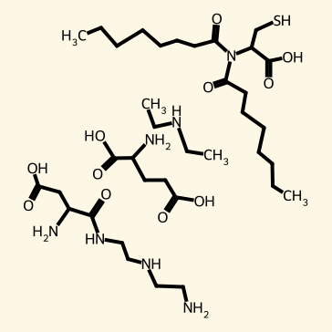 CCCCCCCC(=O)N(C(=O)CCCCCCC)C(CS)C(=O)O.CCNCC.NC(CCC(=O)O)C(=O)O.NCCNCCNC(=O)C(N)CC(=O)O